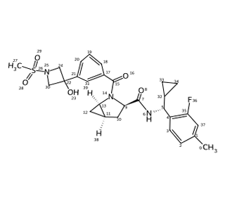 Cc1ccc([C@H](NC(=O)[C@H]2C[C@H]3C[C@H]3N2C(=O)c2cccc(C3(O)CN(S(C)(=O)=O)C3)c2)C2CC2)c(F)c1